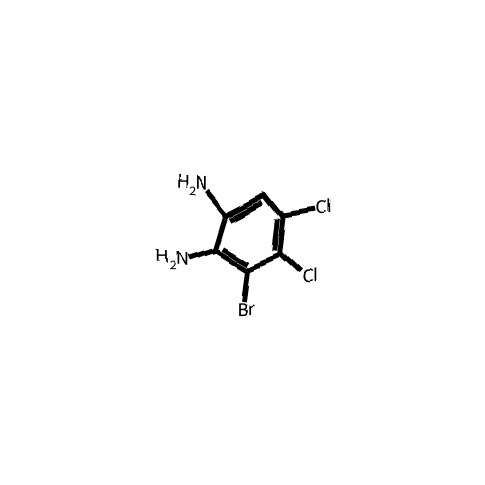 Nc1cc(Cl)c(Cl)c(Br)c1N